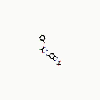 CC(C)(O)C(=O)N1Cc2ccc(Cn3cnc(OCc4ccc(F)cc4F)c(Cl)c3=O)cc2C1